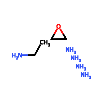 C1CO1.CCN.N.N.N.N